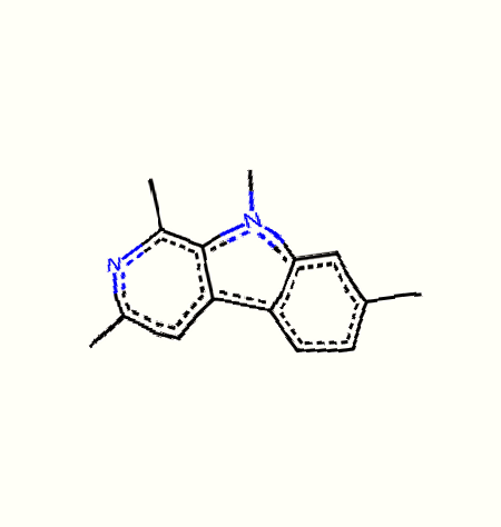 Cc1ccc2c3cc(C)nc(C)c3n(C)c2c1